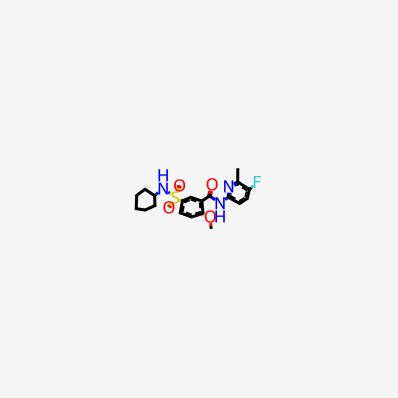 COc1ccc(S(=O)(=O)NC2CCCCC2)cc1C(=O)Nc1ccc(F)c(C)n1